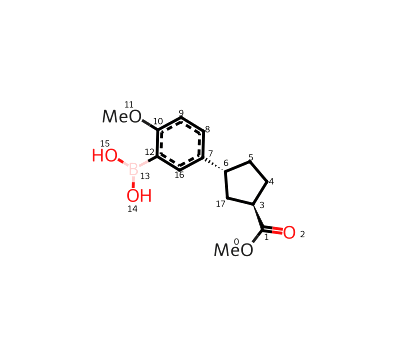 COC(=O)[C@@H]1CC[C@@H](c2ccc(OC)c(B(O)O)c2)C1